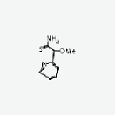 COC(C(N)=S)c1ccccn1